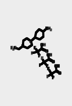 NC1CCC(N2CCN(CC(F)(F)F)CC2)CC1.O=C(O)C(F)(F)F.O=C(O)C(F)(F)F.O=C(O)C(F)(F)F